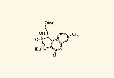 CCC(C)OP(=O)(O)C(CCOC)n1c(=O)c(=O)[nH]c2cc(C(F)(F)F)ccc21